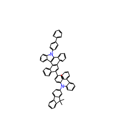 CC1(C)c2ccccc2-c2ccc(N(c3ccc(-c4cc5c6ccccc6c6c(c7ccccc7n6-c6ccc(-c7ccccc7)cc6)c5c5ccccc45)cc3)c3ccccc3-c3ccccc3)cc21